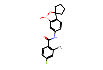 O=C(Nc1ccc2c(c1)B(O)OC21CCCC1)c1ccc(F)cc1C(F)(F)F